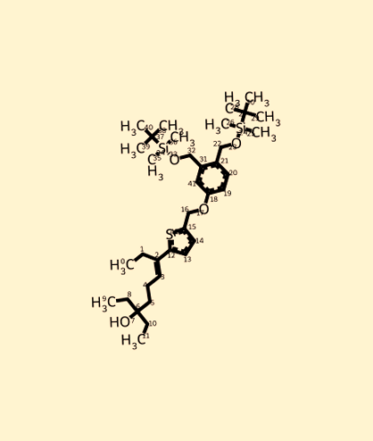 CC/C(=C\CCC(O)(CC)CC)c1ccc(COc2ccc(CO[Si](C)(C)C(C)(C)C)c(CO[Si](C)(C)C(C)(C)C)c2)s1